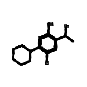 CC(Br)c1cc(Cl)c(N2CCCCC2)cc1O